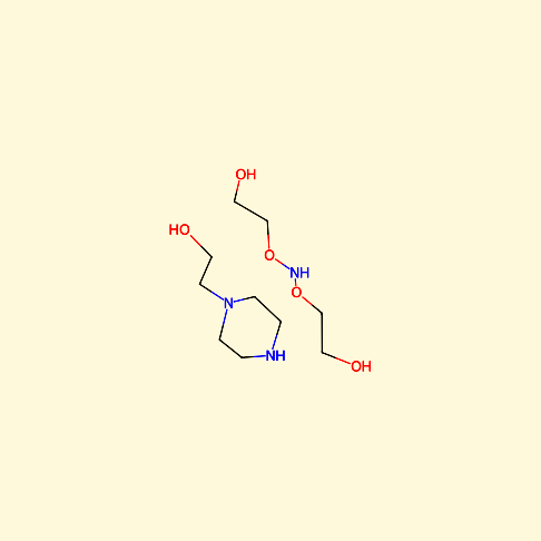 OCCN1CCNCC1.OCCONOCCO